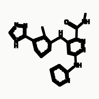 CNC(=O)c1nnc(Nc2ccccn2)cc1Nc1cccc(-c2nnc[nH]2)c1C